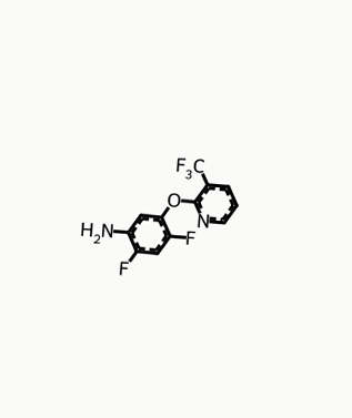 Nc1cc(Oc2ncccc2C(F)(F)F)c(F)cc1F